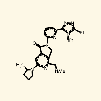 CCCn1c(CC)nnc1-c1cccc(N2Cc3c(cc(N4CCCC4C)nc3CNC)C2=O)n1